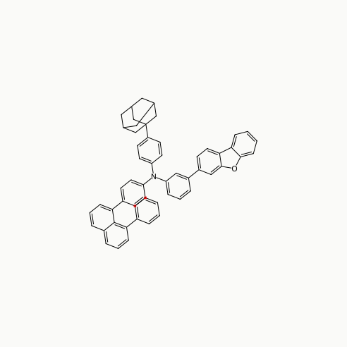 c1ccc(-c2cccc3cccc(-c4ccc(N(c5ccc(C67CC8CC(CC(C8)C6)C7)cc5)c5cccc(-c6ccc7c(c6)oc6ccccc67)c5)cc4)c23)cc1